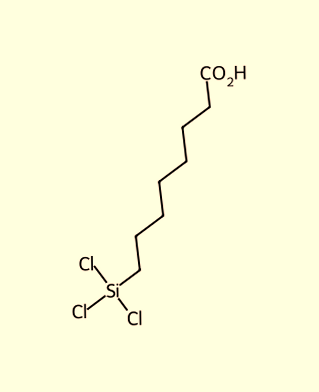 O=C(O)CCCCCCC[Si](Cl)(Cl)Cl